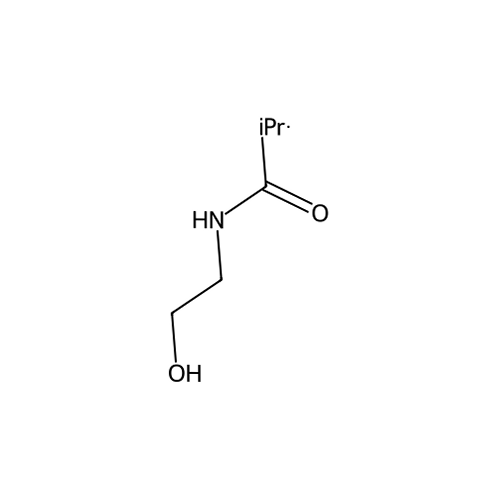 C[C](C)C(=O)NCCO